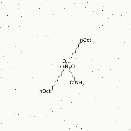 CCCCCCCCC=CCCCCCCCC(=O)N(C(=O)CCCCCCCC=CCCCCCCCC)C(=O)CCCCC(N)=O